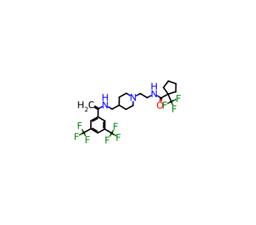 C=C(NCC1CCN(CCNC(=O)C2(C(F)(F)F)CCCC2)CC1)c1cc(C(F)(F)F)cc(C(F)(F)F)c1